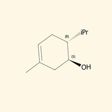 CC1=CC[C@H](C(C)C)[C@@H](O)C1